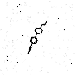 CC#Cc1ccc([C@H]2CC[C@H](C=CC)CC2)cc1